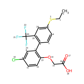 CCSc1ccc(-c2cc(Cl)ccc2OCC(=O)O)c(C(F)(F)F)c1